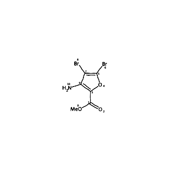 COC(=O)c1oc(Br)c(Br)c1N